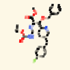 COC(=O)c1nc(NC(=O)O[Si](C)(C)C)c2cc(Cc3ccc(F)cc3)cnc2c1OCc1ccccc1